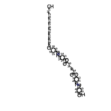 C#CC#CC#CC#CC#CC#CC#CC#COc1ccc(/N=N/c2ccc(OC(=O)CCCCCC(=O)Oc3ccc(/N=N/c4ccc(O)cc4)cc3)cc2)cc1